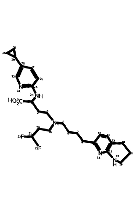 O=C(O)C(CCN(CCCCc1ccc2c(n1)NCCC2)CCC(F)F)Nc1ccc(C2CC2)cn1